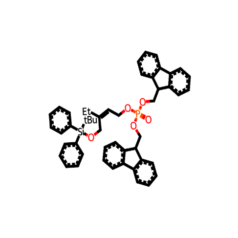 CCC(=CCOP(=O)(OCC1c2ccccc2-c2ccccc21)OCC1c2ccccc2-c2ccccc21)CO[Si](c1ccccc1)(c1ccccc1)C(C)(C)C